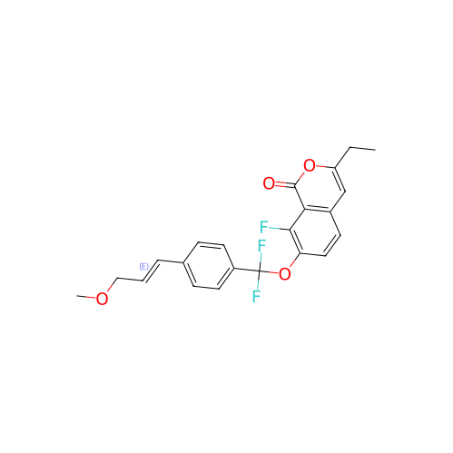 CCc1cc2ccc(OC(F)(F)c3ccc(/C=C/COC)cc3)c(F)c2c(=O)o1